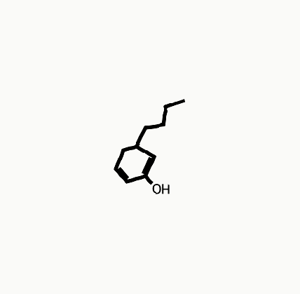 CCCCC1C=C(O)C=CC1